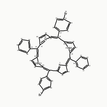 Brc1ccc(-c2c3nc(c(-c4ccccc4)c4ccc([nH]4)c(-c4ccc(Br)cc4)c4nc(c(-c5ccccc5)c5ccc2[nH]5)C=C4)C=C3)cc1